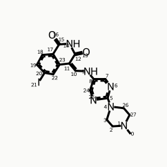 CN1CCN(c2ncc(N/C=C3\C(=O)NC(=O)c4ccc(I)cc43)cn2)CC1